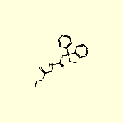 CCOC(=O)CNC(=O)OC(CC)(c1ccccc1)c1ccccc1